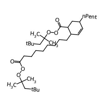 CCCCCC1C=CC(CCCCCCCCC(=O)OOC(C)(C)CC(C)(C)C)C(C(=O)OOC(C)(C)CC(C)(C)C)C1